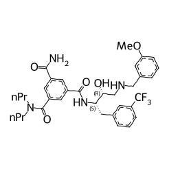 CCCN(CCC)C(=O)c1cc(C(N)=O)cc(C(=O)N[C@@H](Cc2cccc(C(F)(F)F)c2)[C@H](O)CNCc2cccc(OC)c2)c1